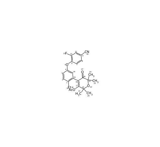 CCc1ccc(Oc2ccc(C#N)cc2F)cc1C1=C(OC(C)=O)C(C)(C)OC(C)(C)C1=O